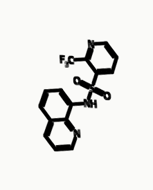 O=S(=O)(Nc1cccc2cccnc12)c1cccnc1C(F)(F)F